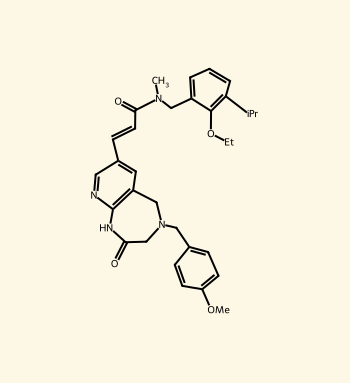 CCOc1c(CN(C)C(=O)C=Cc2cnc3c(c2)CN(Cc2ccc(OC)cc2)CC(=O)N3)cccc1C(C)C